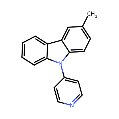 Cc1ccc2c(c1)c1ccccc1n2-c1ccncc1